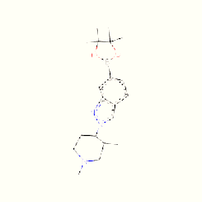 CC1CN(C)CCC1n1cc2ccc(B3OC(C)(C)C(C)(C)O3)cc2n1